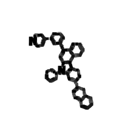 C1=CC2=CC=C(C3=Cc4c(c5c6ccccc6c(-c6cccc(-c7ccncc7)c6)cc5n4-c4ccccc4)CC3)CC2C=C1